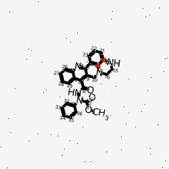 COC(=O)N(NC(=O)c1c(CN2CCNCC2)c(-c2ccccc2)nc2ccccc12)c1ccccc1